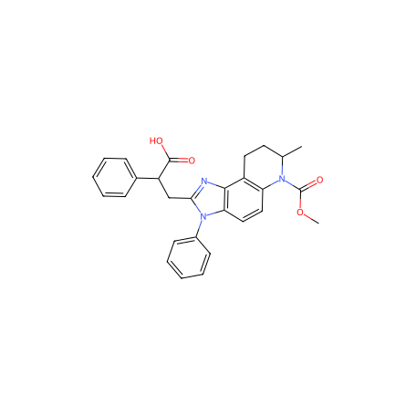 COC(=O)N1c2ccc3c(nc(CC(C(=O)O)c4ccccc4)n3-c3ccccc3)c2CCC1C